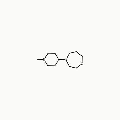 CN1CCC(N2CCCOCC2)CC1